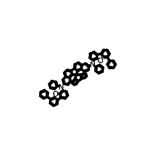 c1ccc(-c2cccc3c2oc2c(N(c4ccccc4)c4ccc5c6c(ccc5c4)-c4ccc5cc(N(c7ccccc7)c7cccc8c7oc7c(-c9ccccc9)cccc78)ccc5c4C64c5ccccc5-c5ccccc54)cccc23)cc1